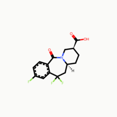 O=C(O)[C@H]1CC[C@H]2CC(F)(F)c3cc(F)ccc3C(=O)N2C1